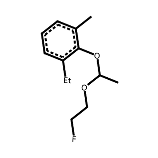 CCc1cccc(C)c1OC(C)OCCF